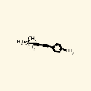 Cc1ccc(C#CC#C[Si](C)(C)C)cc1